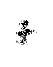 Cc1nn(C)c2c(-c3cc4sc(NCC(C)(C)O)nc4nc3[C@H](Cc3cc(F)cc(F)c3)NC(=O)Cn3nc(C(F)F)c4c3C(F)(F)[C@@H]3C[C@H]43)cccc12